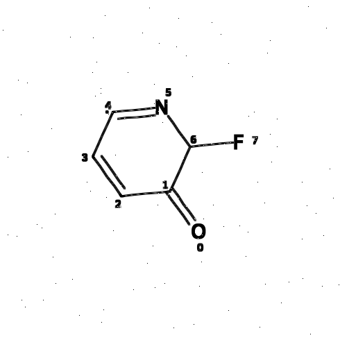 O=C1C=C[C]=NC1F